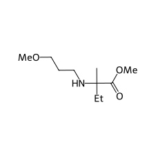 CCC(C)(NCCCOC)C(=O)OC